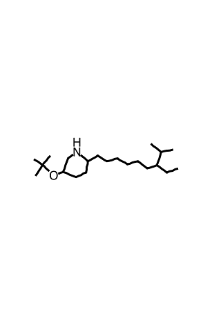 CCC(CCCCCCC1CCC(OC(C)(C)C)CN1)C(C)C